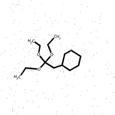 CCOC(CC1CCCCC1)(OCC)OCC